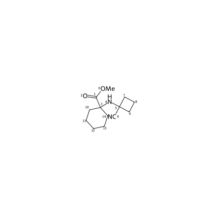 COC(=O)C1(NC2(C#N)CCC2)CCCCC1